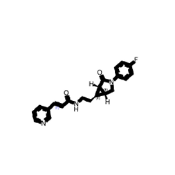 O=C(/C=C/c1cccnc1)NCC[C@@H]1[C@H]2CN(c3ccc(F)cc3)C(=O)[C@@H]12